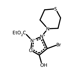 CCOC(=O)[n+]1oc(O)c(Br)[n+]1N1CCSCC1